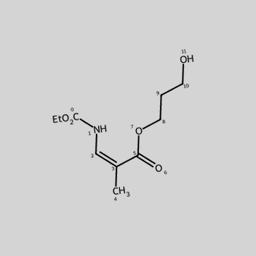 CCOC(=O)NC=C(C)C(=O)OCCCO